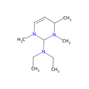 CCN(CC)C1N(C)C=CC(C)N1C